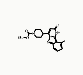 Cc1cccc2nn3c(C4CCN(C(=O)OC(C)(C)C)CC4)cc(=O)[nH]c3c12